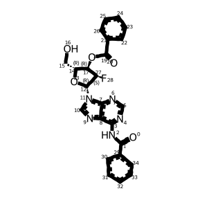 O=C(Nc1ncnc2c1ncn2[C@@H]1O[C@H](CO)[C@@H](OC(=O)c2ccccc2)[C@@H]1F)c1ccccc1